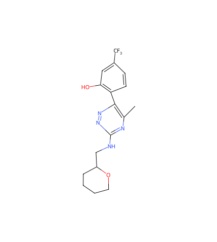 Cc1nc(NCC2CCCCO2)nnc1-c1ccc(C(F)(F)F)cc1O